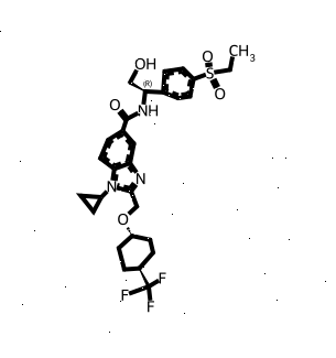 CCS(=O)(=O)c1ccc([C@H](CO)NC(=O)c2ccc3c(c2)nc(CO[C@H]2CC[C@H](C(F)(F)F)CC2)n3C2CC2)cc1